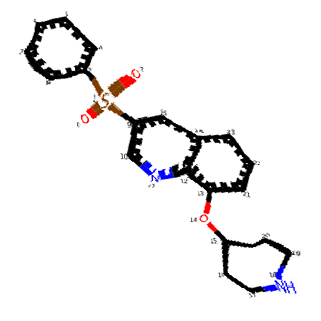 O=S(=O)(c1ccccc1)c1cnc2c(OC3CCNCC3)cccc2c1